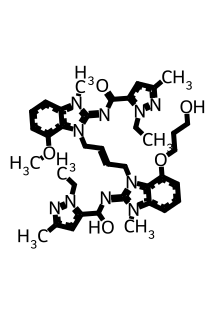 CCn1nc(C)cc1C(=O)/N=c1\n(C)c2cccc(OC)c2n1C/C=C/Cn1/c(=N/C(O)c2cc(C)nn2CC)n(C)c2cccc(OCCCO)c21